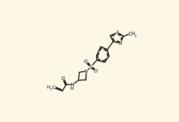 C=CC(=O)NC1CN(S(=O)(=O)c2ccc(-c3csc(C)n3)cc2)C1